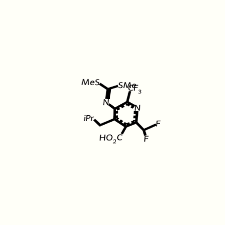 CSC(=Nc1c(C(F)(F)F)nc(C(F)F)c(C(=O)O)c1CC(C)C)SC